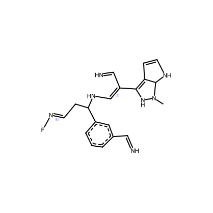 CN1NC(/C(C=N)=C/NC(C/C=N/F)c2cccc(C=N)c2)=C2C=CNC21